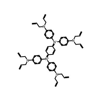 C=CCN(CC=C)c1ccc([N+](=C2C=CC(=[N+](c3ccc(N(CC=C)CC=C)cc3)c3ccc(N(CC=C)CC=C)cc3)C=C2)c2ccc(N(CC=C)CC=C)cc2)cc1